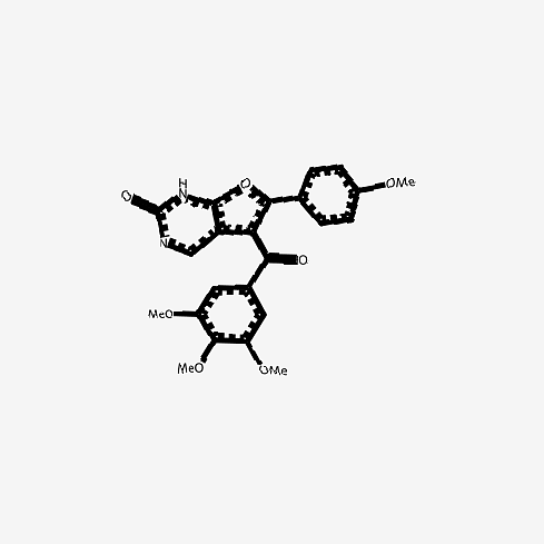 COc1ccc(-c2oc3[nH]c(=O)ncc3c2C(=O)c2cc(OC)c(OC)c(OC)c2)cc1